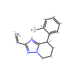 C=Cc1nc2n(n1)CCCC2c1ccccc1C(F)(F)F